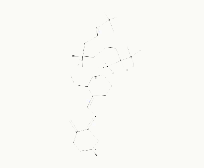 [2H]C([2H])([2H])C(O)(CCC[C@@](C)(C/C=C/C(O)(C(F)(F)F)C(F)(F)F)[C@H]1CCC2/C(=C/C=C3/C[C@@H](O)C[C@H](F)C3=C)CCC[C@@]21C)C([2H])([2H])[2H]